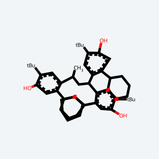 CC(CC(c1cc(C(C)(C)C)c(O)cc1C1CCCCC1)c1cc(C(C)(C)C)c(O)cc1C1CCCCC1)c1cc(C(C)(C)C)c(O)cc1C1CCCCC1